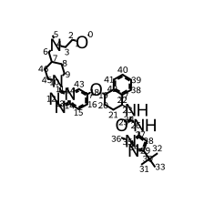 COCCN(C)CC1CCN(c2nnc3ccc(O[C@@H]4CC[C@H](NC(=O)Nc5cc(C(C)(C)C)nn5C)c5ccccc54)cn23)CC1